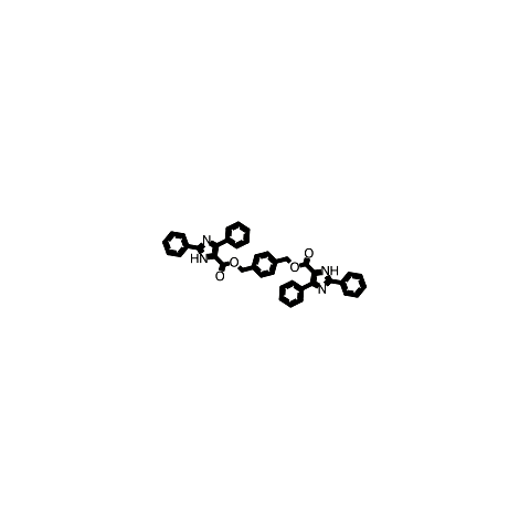 O=C(OCc1ccc(COC(=O)c2[nH]c(-c3ccccc3)nc2-c2ccccc2)cc1)c1[nH]c(-c2ccccc2)nc1-c1ccccc1